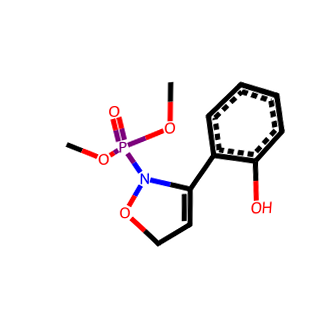 COP(=O)(OC)N1OCC=C1c1ccccc1O